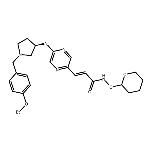 CCOc1ccc(CN2CC[C@@H](Nc3cnc(/C=C/C(=O)NOC4CCCCO4)cn3)C2)cc1